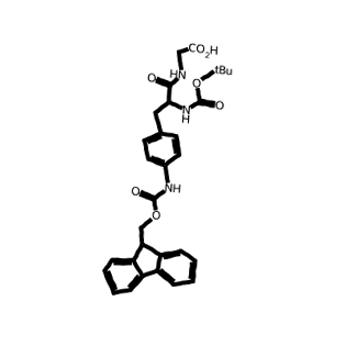 CC(C)(C)OC(=O)NC(Cc1ccc(NC(=O)OCC2c3ccccc3-c3ccccc32)cc1)C(=O)NCC(=O)O